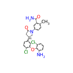 Cc1ccc(N2C[C@@H](c3ccc(Cl)c(Oc4c(N)cccc4Cl)c3)CC2=O)cc1C(N)=O